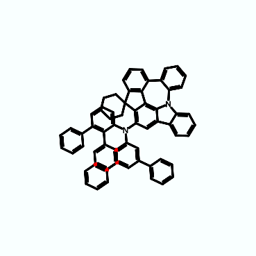 c1ccc(-c2cc(-c3ccccc3)cc(N(c3cccc(-c4ccccc4)c3-c3ccccc3)c3cc4c5ccccc5n5c4c4c3C3(CCCCC3)c3cccc(c3-4)-c3ccccc3-5)c2)cc1